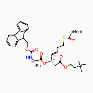 CCCCCCCC(=O)SCC/C=C/[C@H](CC(=O)OCC[Si](C)(C)C)OC(=O)[C@@H](NC(=O)OCC1c2ccccc2-c2ccccc21)C(C)(C)C